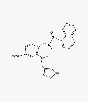 CC(=O)Nc1ccc2c(c1)N(Cc1c[nH]cn1)CCN(C(=O)c1cccc3ccccc13)C2